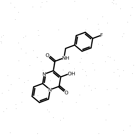 O=C(NCc1ccc(F)cc1)c1nc2ccccn2c(=O)c1O